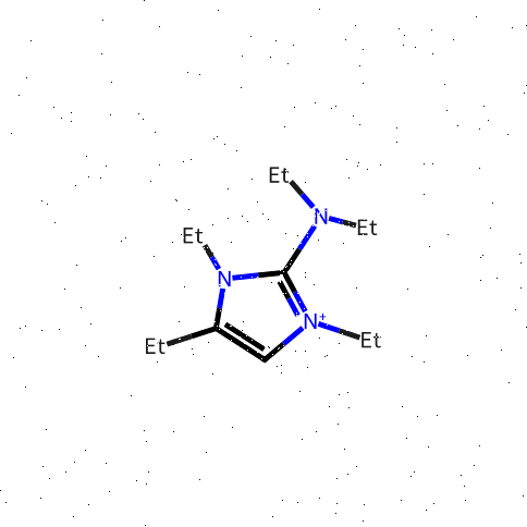 CCc1c[n+](CC)c(N(CC)CC)n1CC